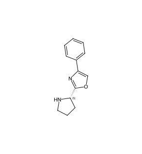 c1ccc(-c2coc([C@@H]3CCCN3)n2)cc1